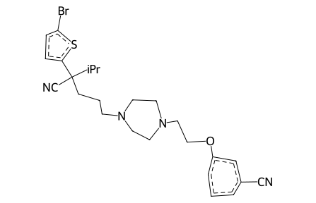 CC(C)C(C#N)(CCCN1CCN(CCOc2cccc(C#N)c2)CC1)c1ccc(Br)s1